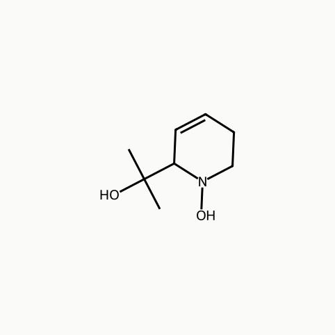 CC(C)(O)C1C=CCCN1O